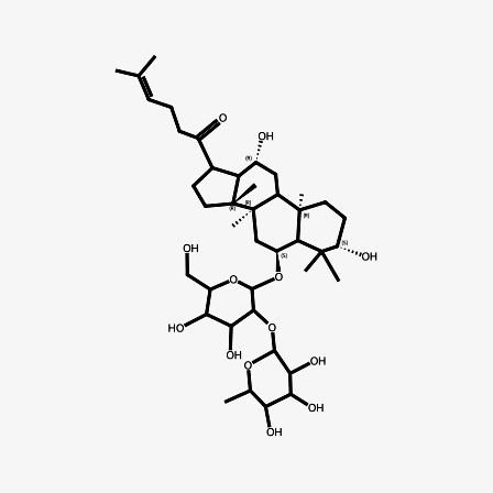 CC(C)=CCCC(=O)C1CC[C@]2(C)C1[C@H](O)CC1[C@@]3(C)CC[C@H](O)C(C)(C)C3[C@@H](OC3OC(CO)C(O)C(O)C3OC3OC(C)C(O)C(O)C3O)C[C@]12C